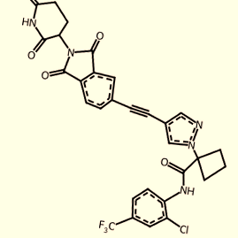 O=C1CCC(N2C(=O)c3ccc(C#Cc4cnn(C5(C(=O)Nc6ccc(C(F)(F)F)cc6Cl)CCC5)c4)cc3C2=O)C(=O)N1